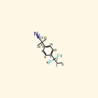 CCC(F)(F)c1ccc(C(C)(C)C#N)cc1